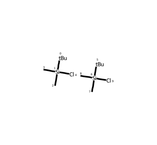 CC(C)(C)[Si](C)(C)Cl.CC(C)(C)[Si](C)(C)Cl